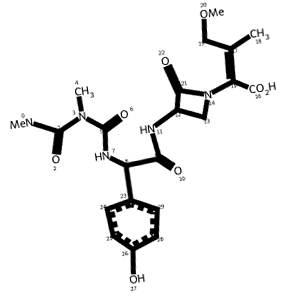 CNC(=O)N(C)C(=O)NC(C(=O)NC1CN(C(C(=O)O)=C(C)COC)C1=O)c1ccc(O)cc1